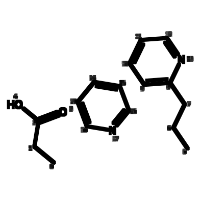 CCC(=O)O.CCCc1ccccn1.c1ccncc1